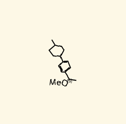 CO[C@@H](C)c1ccc(C2CCC(C)CC2)cc1